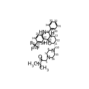 CN(C)C(=O)CN1CCN(C[C@H]2CC[C@@H]3[C@H](O2)c2cc(C(F)(F)F)ccc2N[C@H]3c2ccccc2)CC1